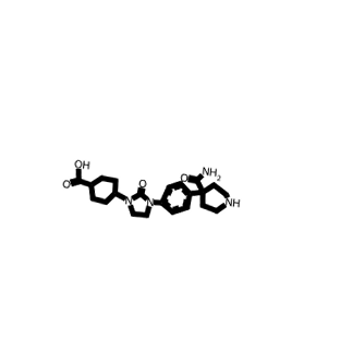 NC(=O)C1(c2ccc(N3CCN(C4CCC(C(=O)O)CC4)C3=O)cc2)CCNCC1